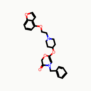 O=C1COC(OC2CCN(CCOc3cccc4occc34)CC2)=CN1Cc1ccccc1